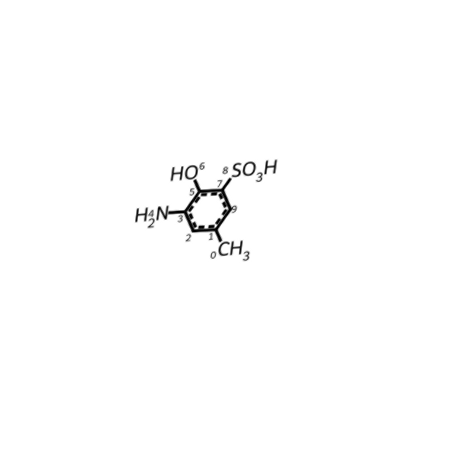 Cc1cc(N)c(O)c(S(=O)(=O)O)c1